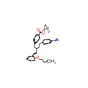 CCCCOc1ccccc1C=CC(CCc1ccc(C#N)cc1)Cc1ccc(C(=O)OC)cc1